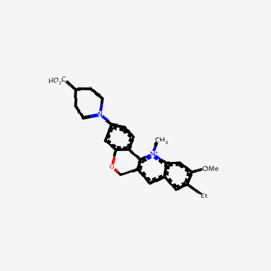 CCc1cc2cc3c([n+](C)c2cc1OC)-c1ccc(N2CCC(C(=O)O)CC2)cc1OC3